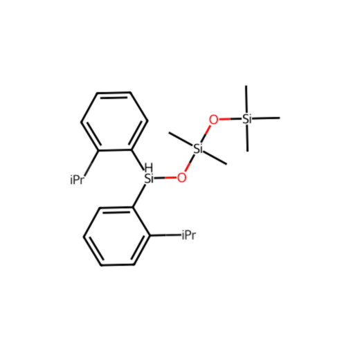 CC(C)c1ccccc1[SiH](O[Si](C)(C)O[Si](C)(C)C)c1ccccc1C(C)C